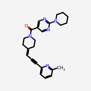 Cc1cccc(C#CC=C2CCN(C(=O)c3cnc(N4CCCCC4)nc3)CC2)n1